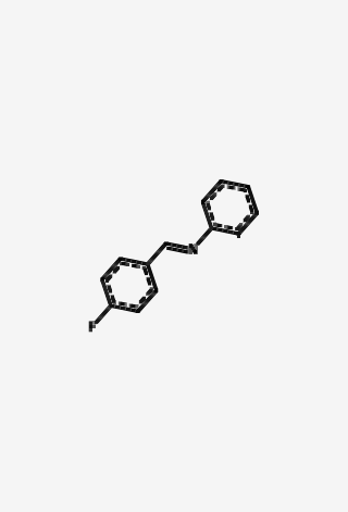 Fc1ccc(C=Nc2[c]cccc2)cc1